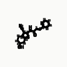 N#Cc1c(NC(=O)/C=C/c2ccccn2)sc2c1CCC(O)C2